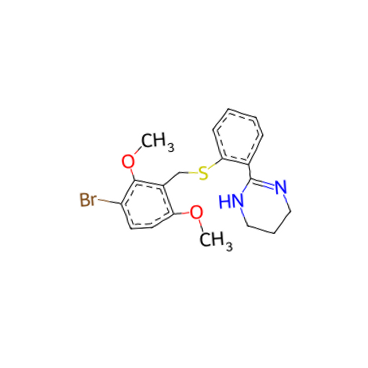 COc1ccc(Br)c(OC)c1CSc1ccccc1C1=NCCCN1